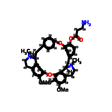 COc1cc2c3cc1Oc1c(OC)c(OC)cc4c1[C@@H](Cc1ccc(OC(=O)CCN)c(c1)Oc1ccc(cc1)C[C@@H]3N(C)CC2)N(C)CC4